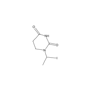 CC(I)N1CCC(=O)NC1=O